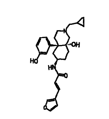 O=C(C=Cc1ccoc1)N[C@@H]1CC[C@]2(O)CN(CC3CC3)CC[C@@]2(c2cccc(O)c2)C1